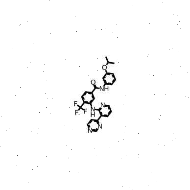 CC(C)Oc1cccc(NC(=O)c2ccc(C(F)(F)F)c(Nc3ncccc3-c3ccncn3)c2)c1